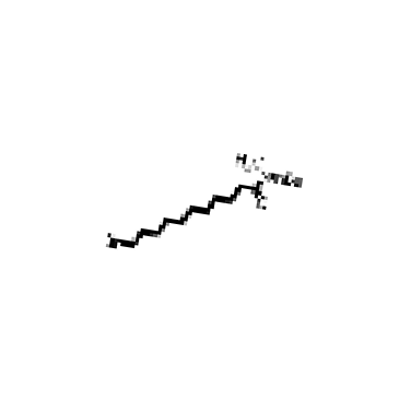 CCCCN(C)C(=O)CCCCCCCCCCBr